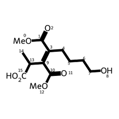 COC(=O)C(CCCCO)=C(C(=O)OC)C(C)C(=O)O